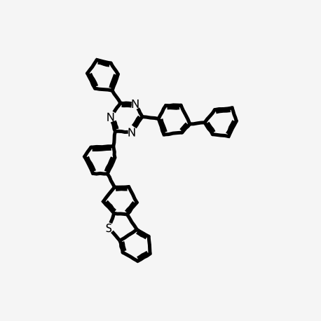 c1ccc(-c2ccc(-c3nc(-c4ccccc4)nc(-c4cccc(-c5ccc6c(c5)sc5ccccc56)c4)n3)cc2)cc1